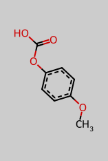 COc1ccc(OC(=O)O)cc1